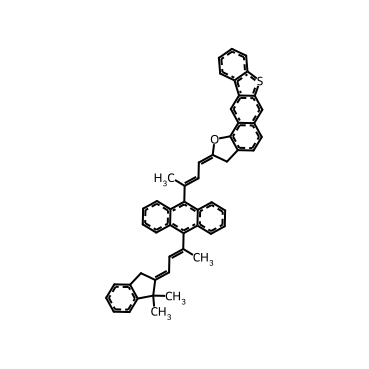 C/C(=C\C=C1/Cc2ccc3cc4sc5ccccc5c4cc3c2O1)c1c2ccccc2c(/C(C)=C/C=C2\Cc3ccccc3C2(C)C)c2ccccc12